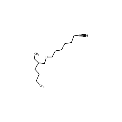 CCCCC(CC)CO[CH]CCCCCC#N